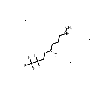 CNCCC[S@+]([O-])CCC(F)(F)C(F)(F)F